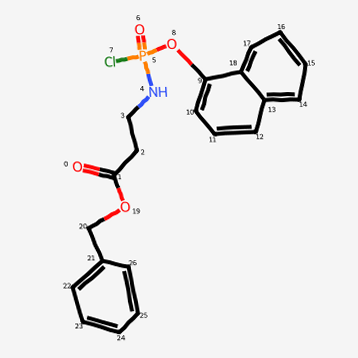 O=C(CCNP(=O)(Cl)Oc1cccc2ccccc12)OCc1ccccc1